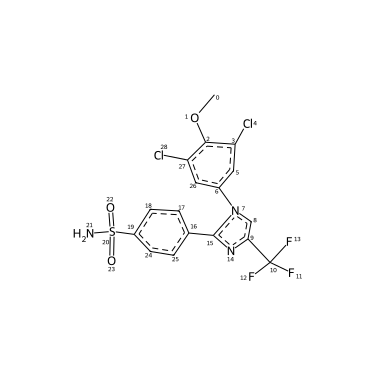 COc1c(Cl)cc(-n2cc(C(F)(F)F)nc2-c2ccc(S(N)(=O)=O)cc2)cc1Cl